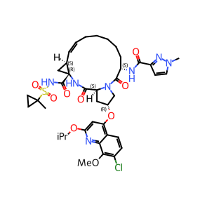 COc1c(Cl)ccc2c(O[C@@H]3C[C@H]4C(=O)N[C@]5(C(=O)NS(=O)(=O)C6(C)CC6)C[C@H]5C=CCCCCC[C@H](NC(=O)c5ccn(C)n5)C(=O)N4C3)cc(OC(C)C)nc12